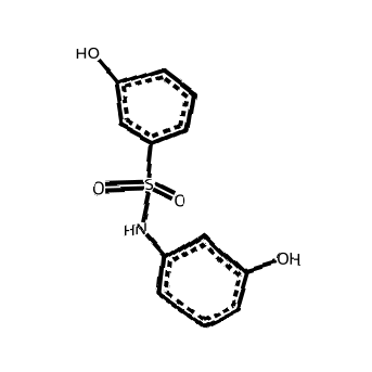 O=S(=O)(Nc1cccc(O)c1)c1cccc(O)c1